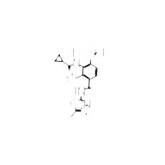 Cc1nnc(NC(=O)c2ccc(OC(F)(F)F)c(NC(=O)C3CC3)c2Cl)o1